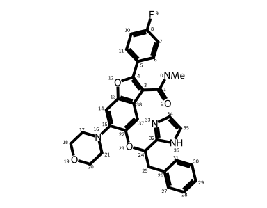 CNC(=O)c1c(-c2ccc(F)cc2)oc2cc(N3CCOCC3)c(OC(Cc3ccccc3)c3ncc[nH]3)cc12